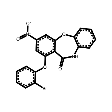 O=C1Nc2ccccc2Oc2cc([N+](=O)[O-])cc(Oc3ccccc3Br)c21